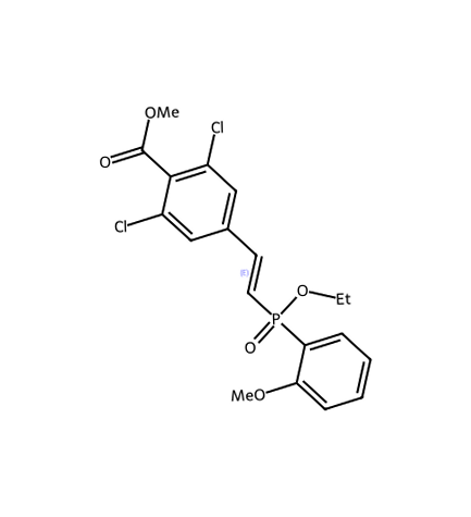 CCOP(=O)(/C=C/c1cc(Cl)c(C(=O)OC)c(Cl)c1)c1ccccc1OC